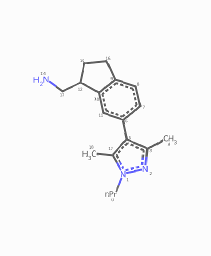 CCCn1nc(C)c(-c2ccc3c(c2)C(CN)CC3)c1C